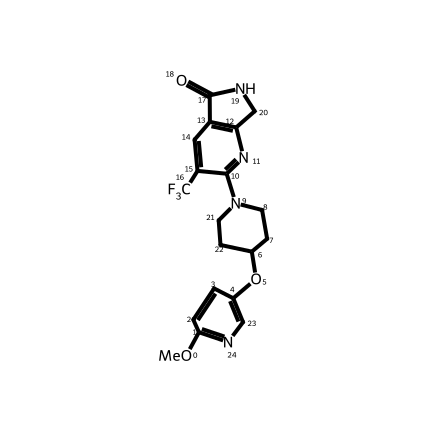 COc1ccc(OC2CCN(c3nc4c(cc3C(F)(F)F)C(=O)NC4)CC2)cn1